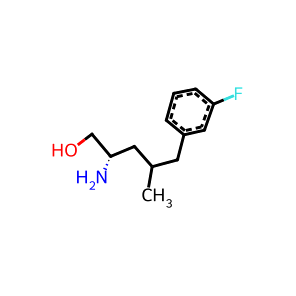 CC(Cc1cccc(F)c1)C[C@H](N)CO